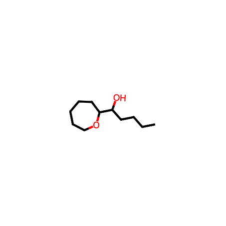 CCCCC(O)C1CCCCCO1